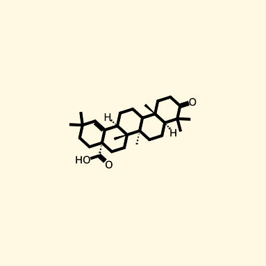 CC1(C)C=C2[C@H]3CCC4[C@]5(C)CCC(=O)C(C)(C)[C@H]5CC[C@@]4(C)[C@]3(C)CC[C@@]2(C(=O)O)CC1